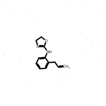 C=CCc1ccccc1NC1=NCCO1